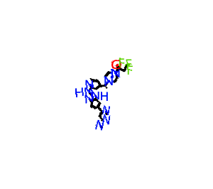 C[C@H](c1ccnc(Nc2nc3ccc(-c4cc(N(C)C)ncn4)cc3[nH]2)c1)N1CCN(C(=O)CC(F)(F)F)CC1